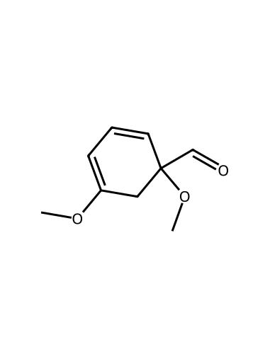 COC1=CC=CC(C=O)(OC)C1